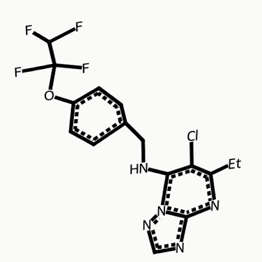 CCc1nc2ncnn2c(NCc2ccc(OC(F)(F)C(F)F)cc2)c1Cl